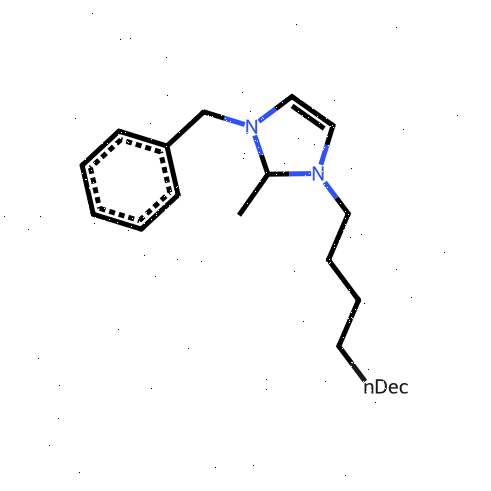 CCCCCCCCCCCCCCN1C=CN(Cc2ccccc2)C1C